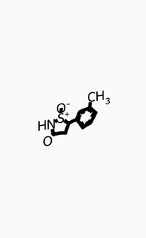 Cc1cccc(C2CC(=O)N[S+]2[O-])c1